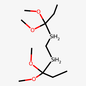 CCC(OC)(OC)[SiH2]C[SiH2]C(CC)(OC)OC